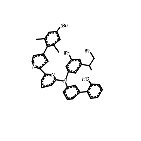 Cc1cc(C(C)(C)C)cc(C)c1-c1ccnc(-c2cccc(N(c3cccc(-c4ccccc4O)c3)c3cc(C(C)C)cc(C(C)CC(C)C)c3)n2)c1